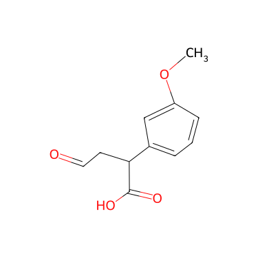 COc1cccc(C(CC=O)C(=O)O)c1